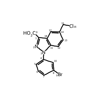 O=C(O)c1nn(-c2cccc(Br)c2)c2ccc(CCl)cc12